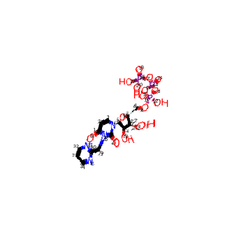 O=c1ccn([C@@H]2O[C@H](COP(=O)(O)OP(=O)(O)OP(=O)(O)O)[C@H](O)C2O)c(=O)n1Cc1ncccn1